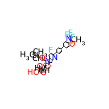 C[Si](C)(C)CCOCn1c(O[C@@H]2CO[C@H]3[C@@H]2OC[C@H]3O)cc2nc(-c3ccc(-c4ccc(S(C)(=O)=NC(F)(F)F)cc4)cc3)c(F)cc21